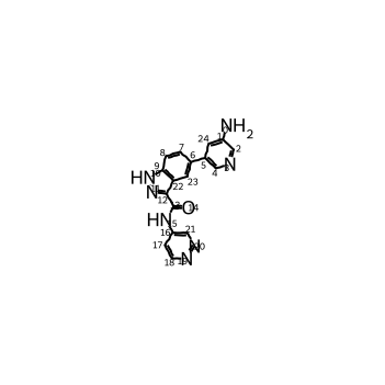 Nc1cncc(-c2ccc3[nH]nc(C(=O)Nc4ccnnc4)c3c2)c1